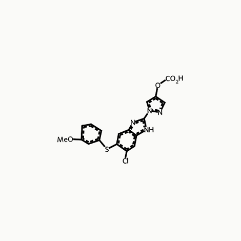 COc1cccc(Sc2cc3nc(-n4cc(OC(=O)O)cn4)[nH]c3cc2Cl)c1